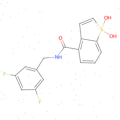 O=C(NCc1cc(F)cc(F)c1)c1cccc2c1C=CS2(O)O